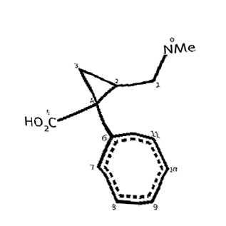 CNCC1CC1(C(=O)O)c1ccccc1